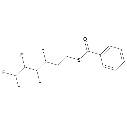 O=C(SCCC(F)C(F)C(F)C(F)F)c1ccccc1